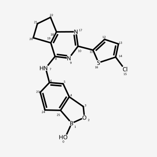 OB1OCc2cc(Nc3nc(-c4ccc(Cl)s4)nc4c3CCC4)ccc21